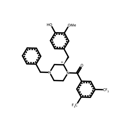 COc1cc(C[C@@H]2CN(Cc3ccccc3)CCN2C(=O)c2cc(C(F)(F)F)cc(C(F)(F)F)c2)ccc1O